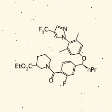 CCC[C@H](Oc1cc(C)c(-n2cc(C(F)(F)F)cn2)c(C)c1)c1ccc(C(=O)N2CCCC(C(=O)OCC)C2)c(F)c1